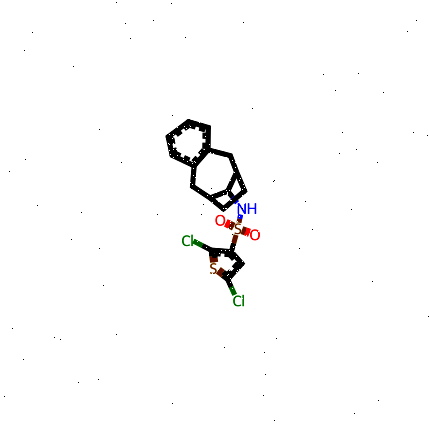 O=S(=O)(NC1C2CCC1Cc1ccccc1C2)c1cc(Cl)sc1Cl